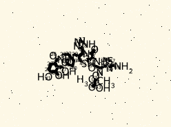 CC(C)(O/N=C(\C(=O)N[C@@H]1C(=O)N2C(c3nnn[nH]3)=C(C[N+]3(CCNC(=O)c4ccc(O)c(O)c4C(=O)O)CCCC3)CS[C@H]12)c1nsc(N)n1)C(=O)O